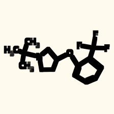 CC(C)(C)N1CCC(Oc2ccccc2C(F)(F)F)C1